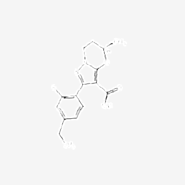 CCc1ccc(-c2nn3c(c2C(=O)O)O[C@H](C)CC3)c(F)c1